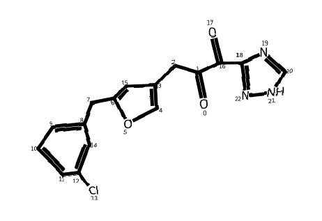 O=C(Cc1coc(Cc2cccc(Cl)c2)c1)C(=O)c1nc[nH]n1